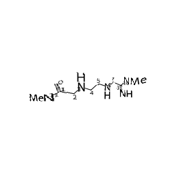 C=C(CNCCNCC(=N)NC)NC